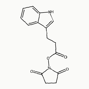 O=C(CCc1c[nH]c2ccccc12)ON1C(=O)CCC1=O